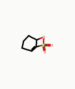 O=S1(=O)OC2CCCC=C21